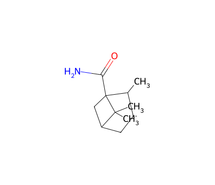 CC1[CH]CC2CC1(C(N)=O)C2(C)C